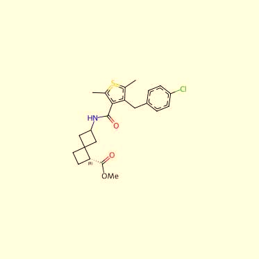 COC(=O)[C@@H]1CCC12CC(NC(=O)c1c(C)sc(C)c1Cc1ccc(Cl)cc1)C2